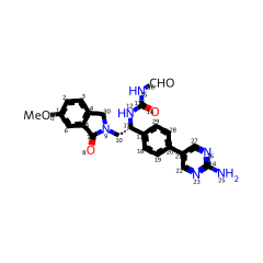 COc1ccc2c(c1)C(=O)N(C[C@H](NC(=O)NC=O)c1ccc(-c3cnc(N)nc3)cc1)C2